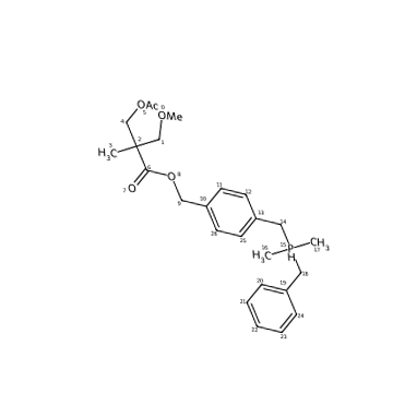 COCC(C)(COC(C)=O)C(=O)OCc1ccc(C[PH](C)(C)Cc2ccccc2)cc1